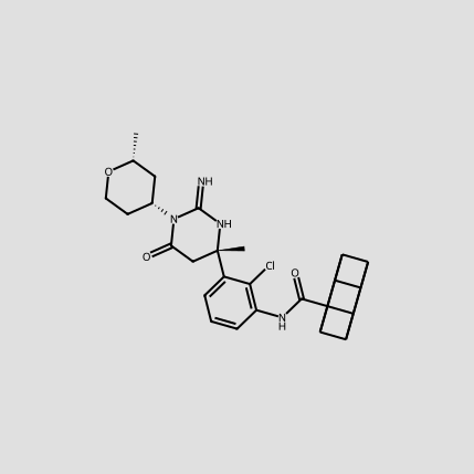 C[C@@H]1C[C@H](N2C(=N)N[C@](C)(c3cccc(NC(=O)C45C6C7C8C6C4C8C75)c3Cl)CC2=O)CCO1